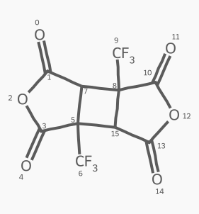 O=C1OC(=O)C2(C(F)(F)F)C1C1(C(F)(F)F)C(=O)OC(=O)C21